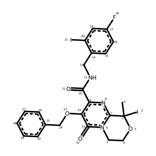 CC1(I)OCCn2c1nc(C(=O)NCc1ccc(F)cc1I)c(OCc1ccccc1)c2=O